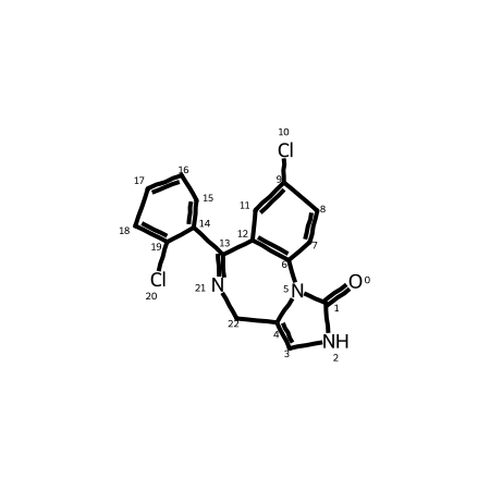 O=c1[nH]cc2n1-c1ccc(Cl)cc1C(c1ccccc1Cl)=NC2